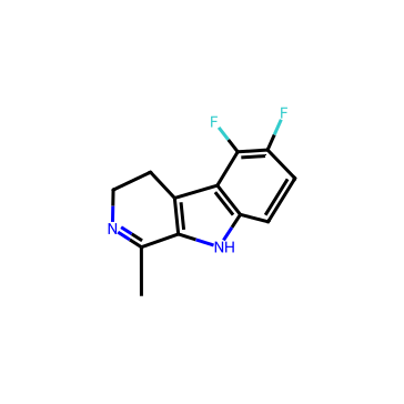 CC1=NCCc2c1[nH]c1ccc(F)c(F)c21